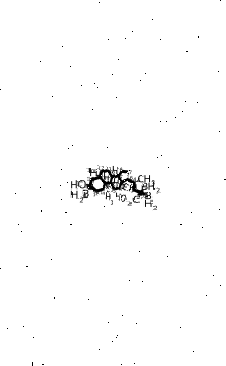 BC(B)(C[C@@H](C)[C@H]1CC[C@H]2[C@@H]3CC[C@@H]4C[C@@](B)(O)CC[C@]4(C)[C@H]3CC[C@]12C)C(=O)O